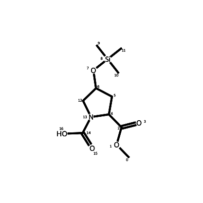 COC(=O)C1CC(O[Si](C)(C)C)CN1C(=O)O